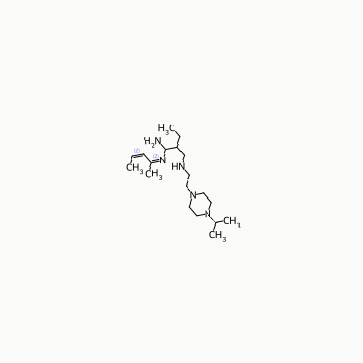 C/C=C\C(C)=N/C(N)C(CC)CNCCN1CCN(C(C)C)CC1